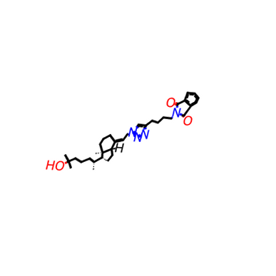 C[C@H](CCCC(C)(C)O)[C@H]1CC[C@H]2/C(=C/Cn3cc(CCCCN4C(=O)c5ccccc5C4=O)nn3)CCC[C@]12C